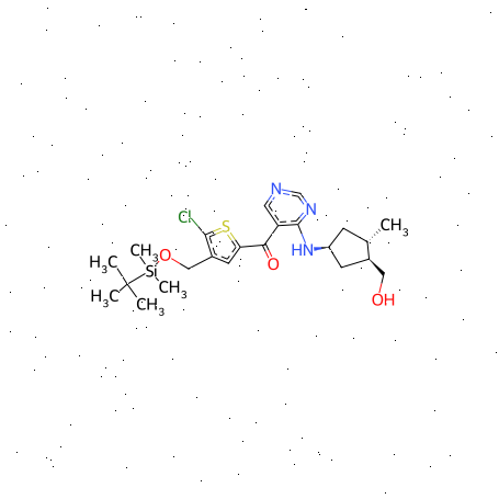 C[C@H]1C[C@H](Nc2ncncc2C(=O)c2cc(CO[Si](C)(C)C(C)(C)C)c(Cl)s2)C[C@@H]1CO